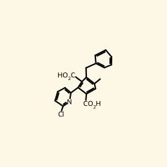 Cc1cc(C(=O)O)c(-c2cccc(Cl)n2)c(C(=O)O)c1Cc1ccccc1